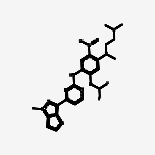 CN(C)CCN(C)c1cc(OC(F)F)c(Nc2nccc(-c3nn(C)c4ccsc34)n2)cc1[N+](=O)[O-]